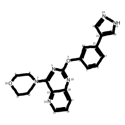 c1cc(Oc2nc(N3CCOCC3)c3ncccc3n2)cc(-c2cn[nH]c2)c1